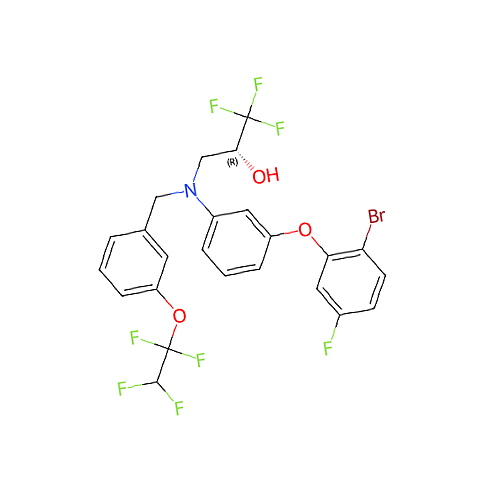 O[C@H](CN(Cc1cccc(OC(F)(F)C(F)F)c1)c1cccc(Oc2cc(F)ccc2Br)c1)C(F)(F)F